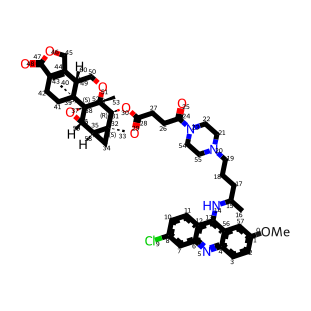 COc1ccc2nc3cc(Cl)ccc3c(NC(C)CCCN3CCN(C(=O)CCC(=O)O[C@@H]4[C@@]5(C)C[C@H]5[C@@H]5O[C@@]56[C@@]5(C)CCC7=C(COC7=O)[C@@H]5CO[C@]46C)CC3)c2c1